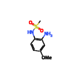 COc1ccc(NS(C)(=O)=O)c(N)c1